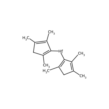 CC1=C(C)[C]([Hf][C]2=C(C)CC(C)=C2C)=C(C)C1